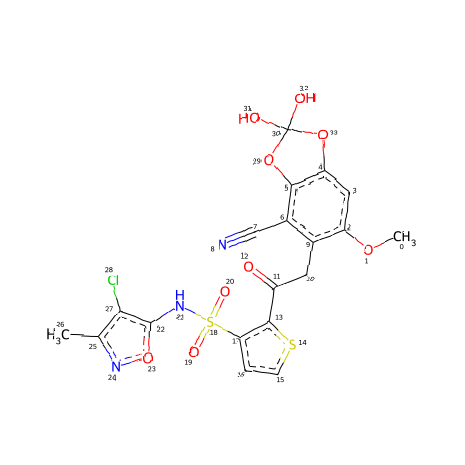 COc1cc2c(c(C#N)c1CC(=O)c1sccc1S(=O)(=O)Nc1onc(C)c1Cl)OC(O)(O)O2